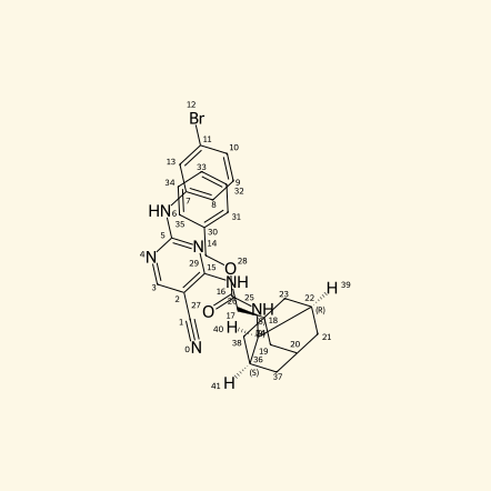 N#Cc1cnc(Nc2cccc(Br)c2)nc1NC[C@]12CC3C[C@H](C1)[C@H](NC(=O)OCc1ccccc1)[C@@H](C3)C2